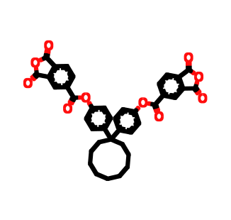 O=C(Oc1ccc(C2(c3ccc(OC(=O)c4ccc5c(c4)C(=O)OC5=O)cc3)CCCCCCCCC2)cc1)c1ccc2c(c1)C(=O)OC2=O